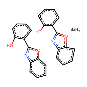 Oc1ccccc1-c1nc2ccccc2o1.Oc1ccccc1-c1nc2ccccc2o1.[BaH2]